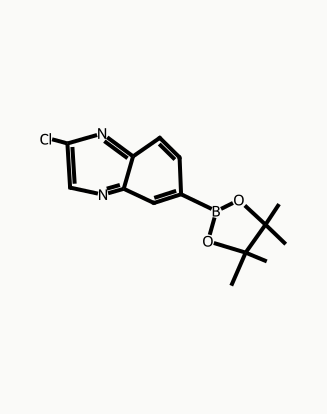 CC1(C)OB(c2ccc3nc(Cl)cnc3c2)OC1(C)C